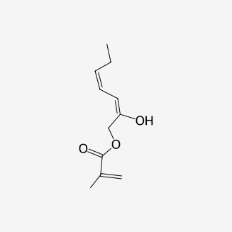 C=C(C)C(=O)OC/C(O)=C\C=C/CC